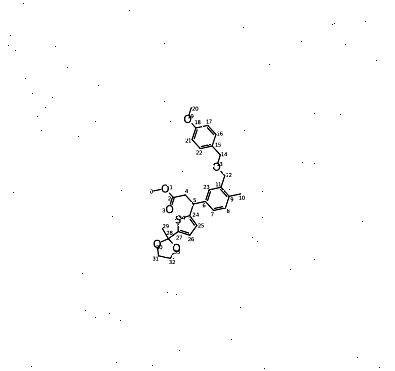 COC(=O)CC(c1ccc(C)c(COCc2ccc(OC)cc2)c1)c1ccc(C2(C)OCCO2)s1